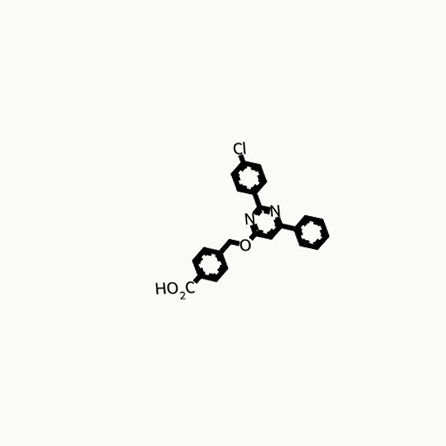 O=C(O)c1ccc(COc2cc(-c3ccccc3)nc(-c3ccc(Cl)cc3)n2)cc1